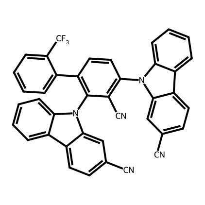 N#Cc1ccc2c3ccccc3n(-c3ccc(-c4ccccc4C(F)(F)F)c(-n4c5ccccc5c5ccc(C#N)cc54)c3C#N)c2c1